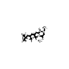 CCN(CC(=O)OC)[S+]([O-])CCC(CC(CC(F)(C(F)(F)F)C(F)(F)F)C(F)(F)F)C(F)(F)F